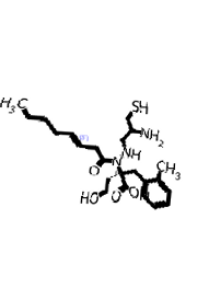 CCCC/C=C/CC(=O)N(NCC(N)CS)[C@@](CCO)(Cc1ccccc1C)C(=O)O